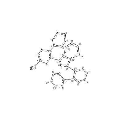 CC(C)(C)c1ccc(-c2ccccc2)c(-c2sc(-c3ccccc3-c3ccccc3)c3ccccc23)c1